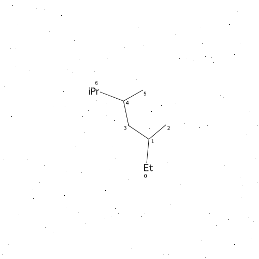 CCC(C)CC(C)C(C)C